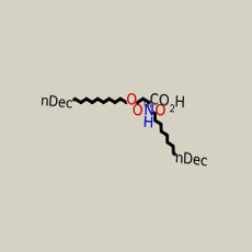 CCCCCCCCCCCCCCCCCCCCOC(=O)C[C@H](NC(=O)CCCCCCCCCCCCCCCCC)C(=O)O